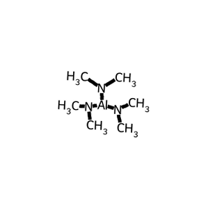 C[N](C)[Al]([N](C)C)[N](C)C